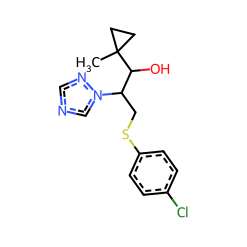 CC1(C(O)C(CSc2ccc(Cl)cc2)n2cncn2)CC1